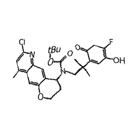 Cc1cc(Cl)nc2cc3c(cc12)OCCC3N(CC(C)(C)C1=CC(O)=C(F)CC1=O)C(=O)OC(C)(C)C